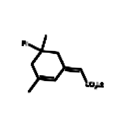 CCOC(=O)/C=C1\C=C(C)CC(C)(CC)C1